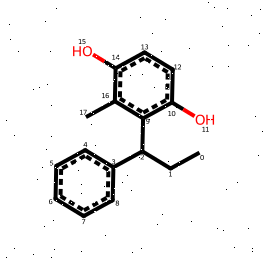 CCC(c1ccccc1)c1c(O)ccc(O)c1C